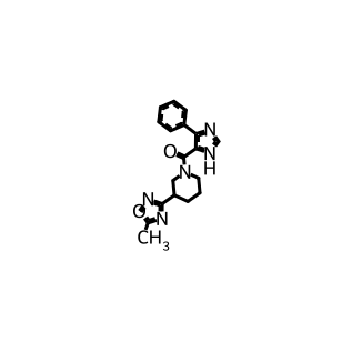 Cc1nc(C2CCCN(C(=O)c3[nH]cnc3-c3ccccc3)C2)no1